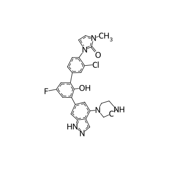 Cn1ccn(-c2ccc(-c3cc(F)cc(-c4cc(N5CCNCC5)c5cn[nH]c5c4)c3O)cc2Cl)c1=O